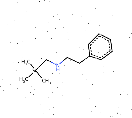 C[Si](C)(C)CNCCc1ccccc1